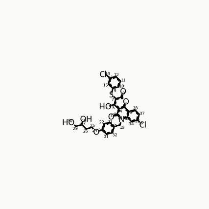 O=c1oc2c(c(O)c1Sc1cccc(Cl)c1)c(=O)n(Cc1ccc(OCCC(O)CO)cc1)c1cc(Cl)ccc21